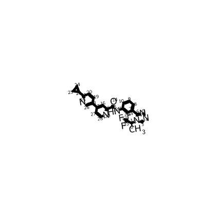 C[C@H](n1cnnc1-c1cccc(NC(=O)c2cc(-c3ccc(C4CC4)nc3)ccn2)c1)C(F)(F)F